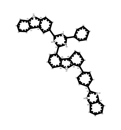 c1ccc(-c2nc(-c3ccc4oc5ccccc5c4c3)nc(-c3cccc4oc5c(-c6ccc(-c7nc8ccccc8s7)cc6)cccc5c34)n2)cc1